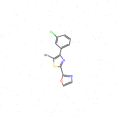 CC(C)c1sc(-c2ncco2)nc1-c1cccc(Cl)c1